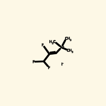 C[N+](C)(C)C=C(F)C(F)F.[I-]